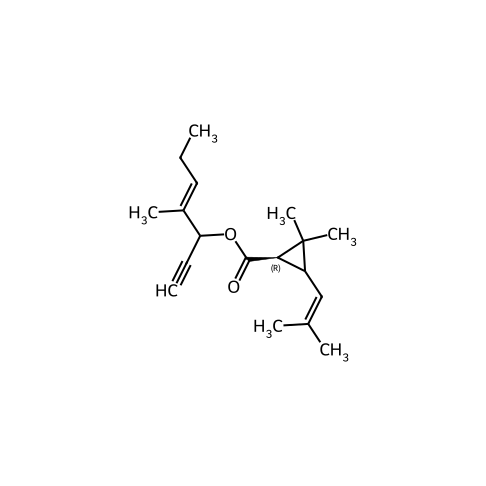 C#CC(OC(=O)[C@@H]1C(C=C(C)C)C1(C)C)C(C)=CCC